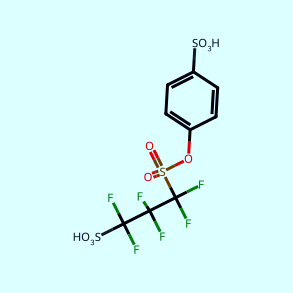 O=S(=O)(O)c1ccc(OS(=O)(=O)C(F)(F)C(F)(F)C(F)(F)S(=O)(=O)O)cc1